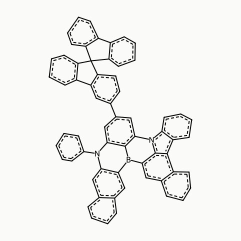 c1ccc(N2c3cc4ccccc4cc3B3c4c2cc(-c2ccc5c(c2)-c2ccccc2C52c5ccccc5-c5ccccc52)cc4-n2c4ccccc4c4c5ccccc5cc3c42)cc1